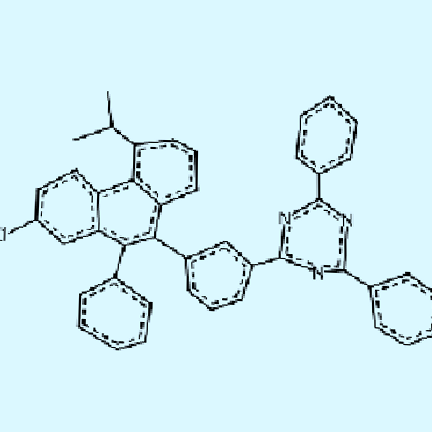 CC(C)c1cccc2c(-c3cccc(-c4nc(-c5ccccc5)nc(-c5ccccc5)n4)c3)c(-c3ccccc3)c3cc(Cl)ccc3c12